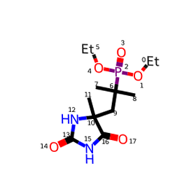 CCOP(=O)(OCC)C(C)(C)CC1(C)NC(=O)NC1=O